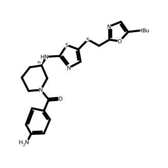 CC(C)(C)c1cnc(CSc2cnc(N[C@@H]3CCCN(C(=O)c4ccc(N)cc4)C3)s2)o1